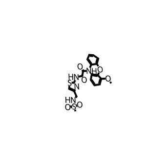 COc1ccccc1Oc1ccccc1NC(=O)C(=O)Nc1nc(CNS(C)(=O)=O)cs1